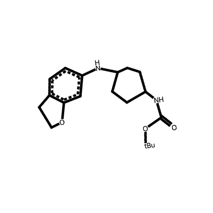 CC(C)(C)OC(=O)NC1CCC(Nc2ccc3c(c2)OCC3)CC1